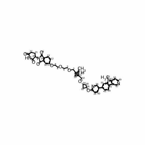 C[C@@H]1C2(COCCOCCOc3ccc4c(c3)C(=O)N(C3CCC(=O)NC3=O)C4=O)CC1(CO[C@H]1C[C@H](Oc3ccc(-c4ccc5c6cnccc6n(C)c5c4)cn3)C1)C2